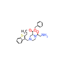 CCc1sc2ccccc2c1CN1CCN(C(=O)CN)C(C(=O)OCc2ccccc2)C1